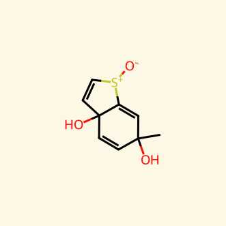 CC1(O)C=CC2(O)C=C[S+]([O-])C2=C1